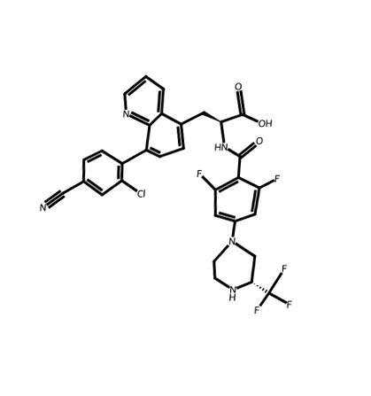 N#Cc1ccc(-c2ccc(C[C@H](NC(=O)c3c(F)cc(N4CCN[C@@H](C(F)(F)F)C4)cc3F)C(=O)O)c3cccnc23)c(Cl)c1